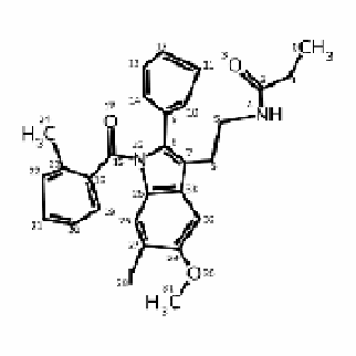 CCC(=O)NCCc1c(-c2ccccc2)n(C(=O)c2ccccc2C)c2cc(I)c(OC)cc12